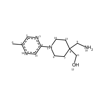 Cc1cnc(N2CCC(CN)(CO)CC2)cn1